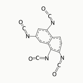 O=C=Nc1cc(N=C=O)c2ccc(N=C=O)c(N=C=O)c2c1